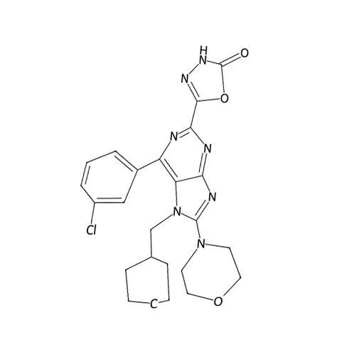 O=c1[nH]nc(-c2nc(-c3cccc(Cl)c3)c3c(n2)nc(N2CCOCC2)n3CC2CCCCC2)o1